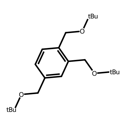 CC(C)(C)OCc1ccc(COC(C)(C)C)c(COC(C)(C)C)c1